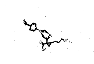 N#Cc1ccc(-n2cnc(C3(C(=O)O)CC3CCCN)c2)cc1